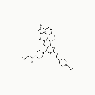 C=CC(=O)N1CCN(c2nc(OCC3CCN(C4CC4)CC3)nc3c(F)c(-c4c(F)ccc5[nH]ncc45)c(Cl)cc23)CC1